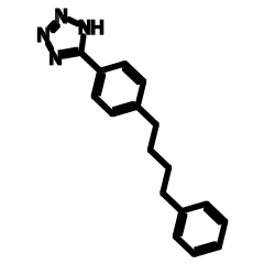 c1ccc(CCCCc2ccc(-c3nnn[nH]3)cc2)cc1